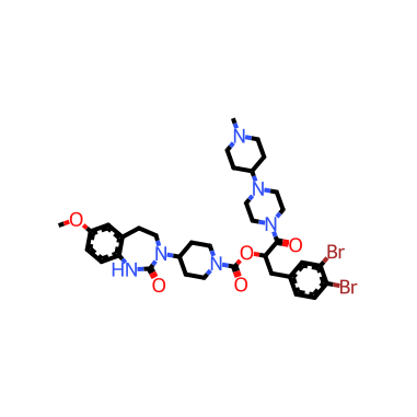 COc1ccc2c(c1)CCN(C1CCN(C(=O)OC(Cc3ccc(Br)c(Br)c3)C(=O)N3CCN(C4CCN(C)CC4)CC3)CC1)C(=O)N2